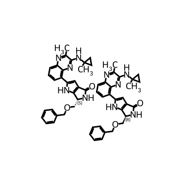 Cc1nc2cccc(-c3cc4c([nH]3)[C@@H](COCc3ccccc3)NC4=O)c2nc1NC1(C)CC1.Cc1nc2cccc(-c3cc4c([nH]3)[C@H](COCc3ccccc3)NC4=O)c2nc1NC1(C)CC1